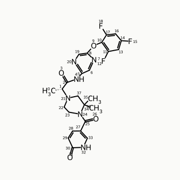 C[C@H](C(=O)Nc1cnc(Oc2c(F)cc(F)cc2F)cn1)N1CCN(C(=O)c2ccc(=O)[nH]c2)C(C)(C)C1